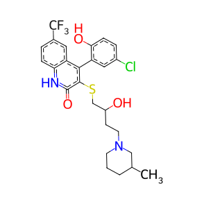 CC1CCCN(CCC(O)CSc2c(-c3cc(Cl)ccc3O)c3cc(C(F)(F)F)ccc3[nH]c2=O)C1